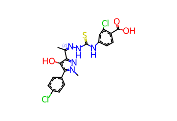 C/C(=N/NC(=S)Nc1ccc(C(=O)O)c(Cl)c1)c1nn(C)c(-c2ccc(Cl)cc2)c1O